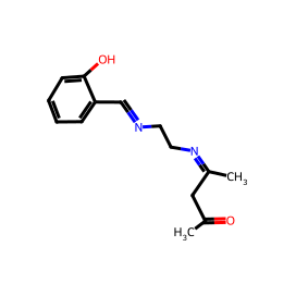 CC(=O)CC(C)=NCCN=Cc1ccccc1O